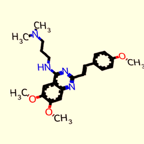 COc1ccc(/C=C/c2nc(NCCCN(C)C)c3cc(OC)c(OC)cc3n2)cc1